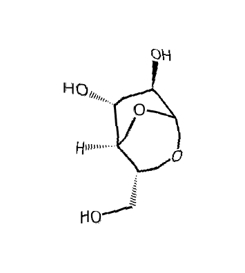 OC[C@H]1OC2O[C@@H]1[C@H](O)[C@H]2O